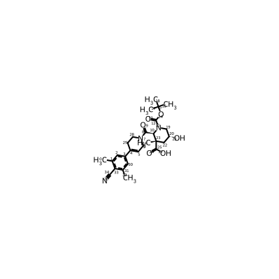 Cc1cc(C2=CCN(C(=O)[C@H]3N(C(=O)OC(C)(C)C)C[C@H](O)C[C@]3(C)C(=O)O)CC2)cc(C)c1C#N